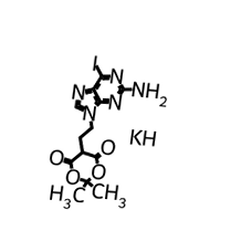 CC1(C)OC(=O)C(CCn2cnc3c(I)nc(N)nc32)C(=O)O1.[KH]